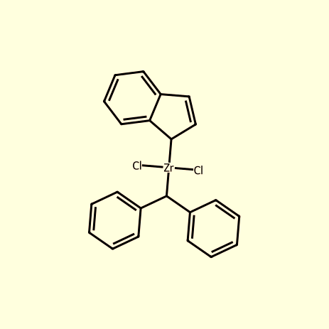 [Cl][Zr]([Cl])([CH]1C=Cc2ccccc21)[CH](c1ccccc1)c1ccccc1